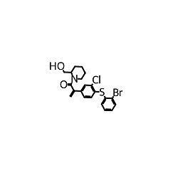 C=C(C(=O)N1CCCCC1CO)c1ccc(Sc2ccccc2Br)c(Cl)c1